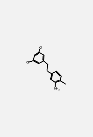 Nc1cc(OCc2cc(Cl)cc(Cl)c2)ccc1F